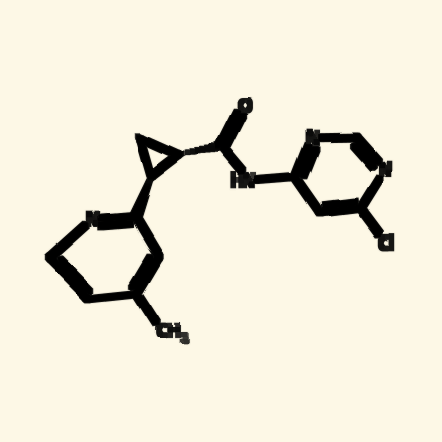 Cc1ccnc([C@H]2C[C@@H]2C(=O)Nc2cc(Cl)ncn2)c1